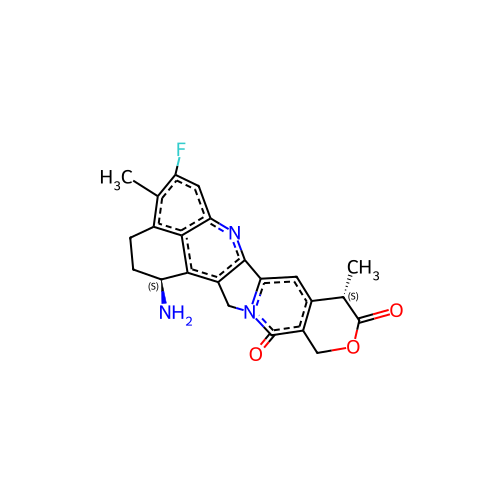 Cc1c(F)cc2nc3c(c4c2c1CC[C@@H]4N)Cn1c-3cc2c(c1=O)COC(=O)[C@H]2C